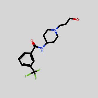 [O]CCCN1CCC(NC(=O)c2cccc(C(F)(F)F)c2)CC1